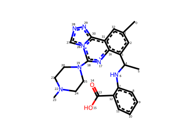 Cc1cc(C(C)Nc2ccccc2C(=O)O)c2nc(N3CCN(C)CC3)n3cnnc3c2c1